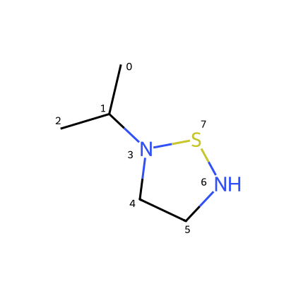 CC(C)N1CCNS1